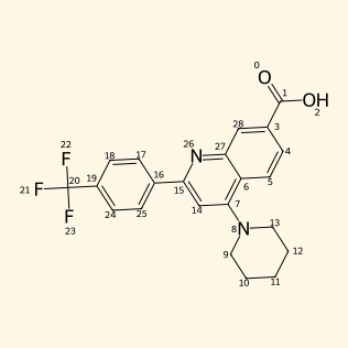 O=C(O)c1ccc2c(N3CCCCC3)cc(-c3ccc(C(F)(F)F)cc3)nc2c1